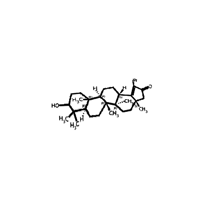 CC(C)C1=C2[C@H]3CC[C@@H]4[C@@]5(C)CCC(O)C(C)(C)[C@@H]5CC[C@@]4(C)[C@]3(C)CC[C@@]2(C)CC1=O